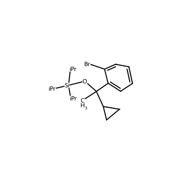 CC(C)[Si](OC(C)(c1ccccc1Br)C1CC1)(C(C)C)C(C)C